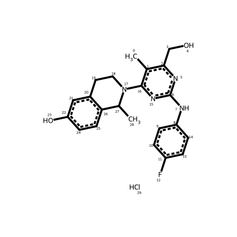 Cc1c(CO)nc(Nc2ccc(F)cc2)nc1N1CCc2cc(O)ccc2C1C.Cl